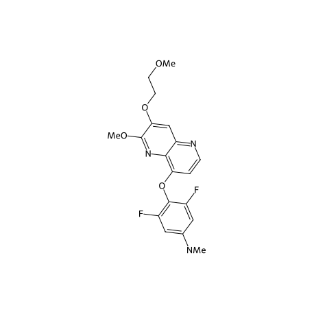 CNc1cc(F)c(Oc2ccnc3cc(OCCOC)c(OC)nc23)c(F)c1